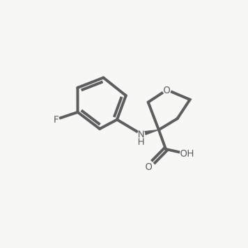 O=C(O)[C@@]1(Nc2cccc(F)c2)CCOC1